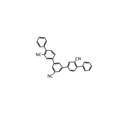 N#Cc1cc(-c2ccc(-c3ccccc3)c(C#N)c2)cc(-c2ccc(-c3ccccc3)c(C#N)c2)c1